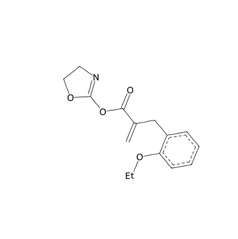 C=C(Cc1ccccc1OCC)C(=O)OC1=NCCO1